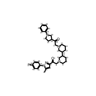 Cc1cc(C(=O)CN2CCCC(C3CCCN(CC(=O)C4CCN(c5ccccc5)C4)C3)C2)nn1-c1ccc(F)cc1